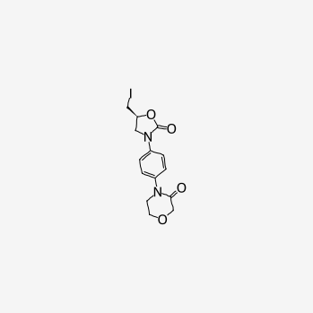 O=C1COCCN1c1ccc(N2C[C@@H](CI)OC2=O)cc1